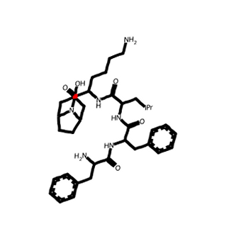 CC(C)CC(NC(=O)C(Cc1ccccc1)NC(=O)C(N)Cc1ccccc1)C(=O)NC(CCCCN)C(=O)N1C2CCC1CC(O)C2